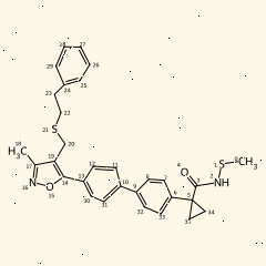 CSNC(=O)C1(c2ccc(-c3ccc(-c4onc(C)c4CSCCc4ccccc4)cc3)cc2)CC1